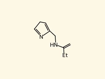 C=C(CC)NCC1=CCC=N1